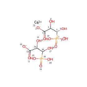 O=C([O-])C(O)C(O)P(=O)(O)O.O=C([O-])C(O)C(O)P(=O)(O)O.[Ca+2]